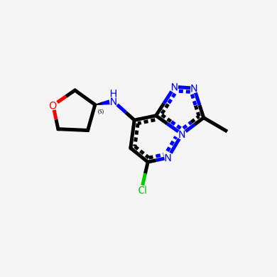 Cc1nnc2c(N[C@H]3CCOC3)cc(Cl)nn12